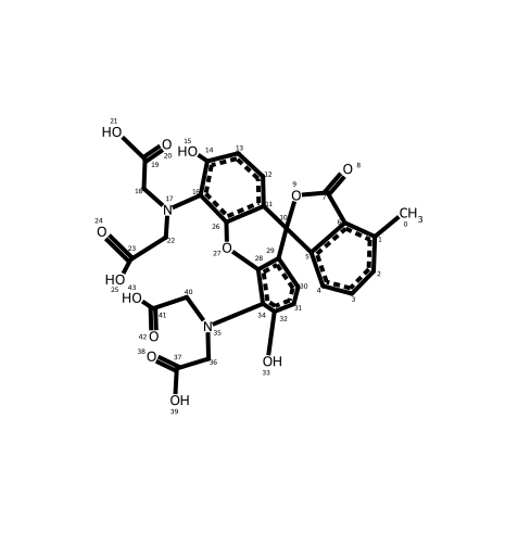 Cc1cccc2c1C(=O)OC21c2ccc(O)c(N(CC(=O)O)CC(=O)O)c2Oc2c1ccc(O)c2N(CC(=O)O)CC(=O)O